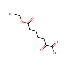 CCOC(=O)CCCCC(=O)C(=O)O